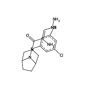 NN/C=C(\N)C(=O)N1CC2CCC(C1)N2Sc1cc(Cl)cc(Cl)c1